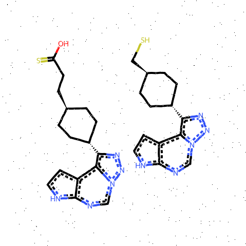 OC(=S)CC[C@H]1CC[C@H](c2nnn3cnc4[nH]ccc4c23)CC1.SC[C@H]1CC[C@H](c2nnn3cnc4[nH]ccc4c23)CC1